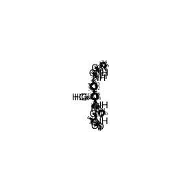 COC(=O)NC(C(=O)N1CCC[C@H]1c1ncc(-c2ccc(-c3ccc(CNC(=O)NC(=O)[C@@H]4CCCN4)cc3)cc2)[nH]1)C(C)C.Cl.Cl